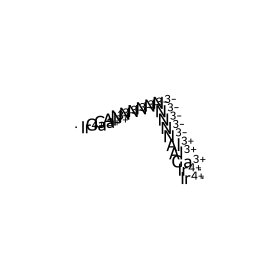 [Al+3].[Al+3].[Al+3].[Ga+3].[Ga+3].[Ga+3].[Ir+4].[Ir+4].[Ir+4].[N-3].[N-3].[N-3].[N-3].[N-3].[N-3].[N-3].[N-3].[N-3].[N-3]